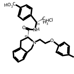 C[C@H](NC(=O)[C@H]1Cc2ccccc2CN1CCOc1ccc(F)cc1)c1ccc(C(=O)O)cc1.Cl